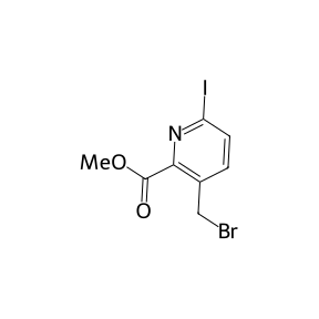 COC(=O)c1nc(I)ccc1CBr